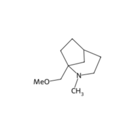 COCC12CCC(CCN1C)C2